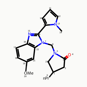 CCCC1CC(=O)N(Cn2c(-c3cccn3C)nc3ccc(OC)cc32)C1